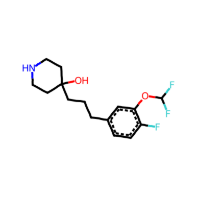 OC1(CCCc2ccc(F)c(OC(F)F)c2)CCNCC1